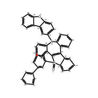 O=P1(c2cccc(-c3ccccc3)c2)C2=C(c3ccccc3N(c3ccc4oc5ccccc5c4c3)c3ccccc32)c2ccccc21